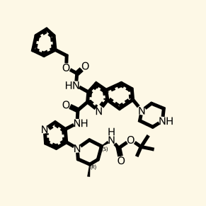 C[C@@H]1C[C@H](NC(=O)OC(C)(C)C)CN(c2ccncc2NC(=O)c2nc3cc(N4CCNCC4)ccc3cc2NC(=O)OCc2ccccc2)C1